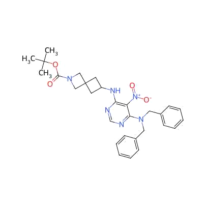 CC(C)(C)OC(=O)N1CC2(CC(Nc3ncnc(N(Cc4ccccc4)Cc4ccccc4)c3[N+](=O)[O-])C2)C1